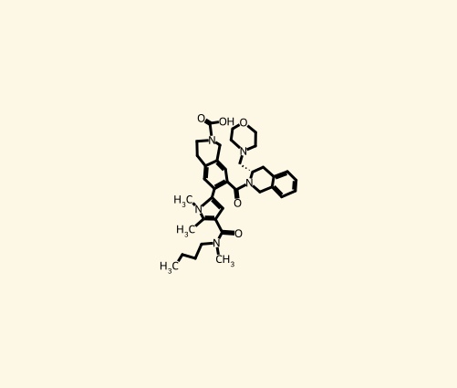 CCCCN(C)C(=O)c1cc(-c2cc3c(cc2C(=O)N2Cc4ccccc4C[C@H]2CN2CCOCC2)CN(C(=O)O)CC3)n(C)c1C